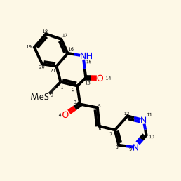 CSc1c(C(=O)/C=C/c2cncnc2)c(=O)[nH]c2ccccc12